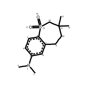 CN(C)c1ccc2c(c1)CCC(C)(C)CS2(=O)=O